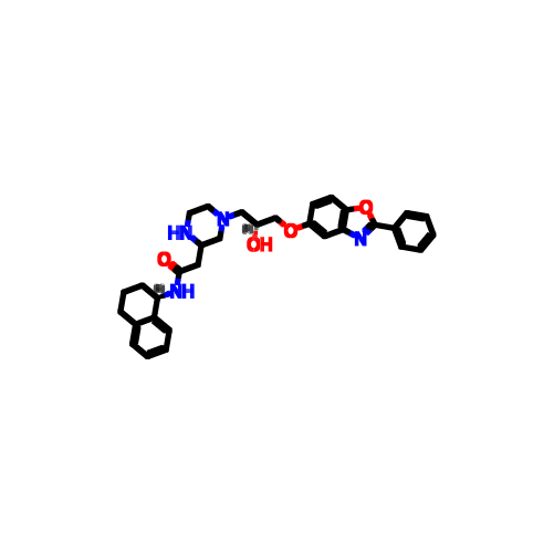 O=C(CC1CN(C[C@@H](O)COc2ccc3oc(-c4ccccc4)nc3c2)CCN1)N[C@@H]1CCCc2ccccc21